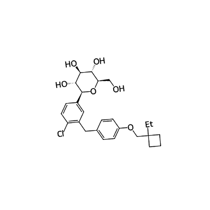 CCC1(COc2ccc(Cc3cc([C@@H]4O[C@H](CO)[C@@H](O)[C@H](O)[C@H]4O)ccc3Cl)cc2)CCC1